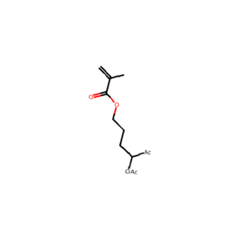 C=C(C)C(=O)OCCCC(OC(C)=O)C(C)=O